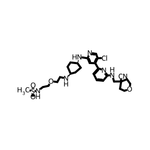 CS(=O)(=O)NCCOCCN[C@H]1CC[C@H](Nc2cc(-c3cccc(NCC4(C#N)CCOCC4)n3)c(Cl)cn2)CC1